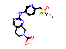 CS(=O)(=O)Cc1ccc(Nc2ncc3c(n2)CN(C(=O)O)CC3)cn1